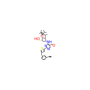 C#Cc1cccc(Cc2csc(-c3ncc(C=O)c(N[C@@H]4C[C@H](CO)[C@@H](O[Si](C(C)C)(C(C)C)C(C)C)C4)n3)c2)c1